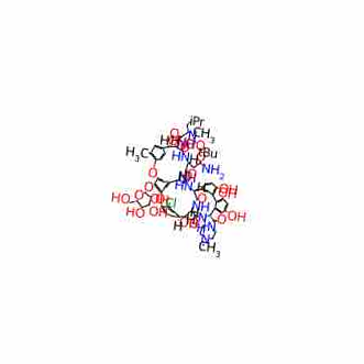 Cc1cc2ccc1Oc1cc3cc(c1O[C@@H]1O[C@H](CO)[C@@H](O)[C@H](O)[C@H]1O)OC1=CC[C@@H](C=C1Cl)[C@@H](O)[C@@H]1NC(=O)[C@H](NC(=O)[C@@H]3NC(=O)[C@H](CC(N)=O)NC(=O)[C@H](NC(=O)[C@@H](CC(C)C)N(C)C(=O)OC(C)(C)C)[C@@H]2O)c2ccc(O)c(c2)-c2c(O)cc(O)cc2[C@@H](C(=O)N2CCN(C)CC2)NC1=O